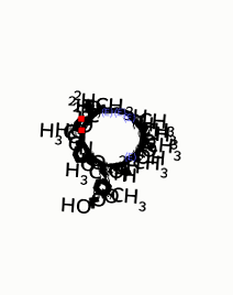 [2H]C([2H])([2H])O[C@H]1C[C@@H]2CC[C@@H](C)[C@@](O)(O2)C(=O)C(=O)N2CCCC[C@H]2C(=O)O[C@H]([C@H](C)C[C@@H]2CC[C@@H](OCCO)[C@H](OC)C2)CC(=O)[C@H](C([2H])([2H])[2H])/C=C(\C)[C@@H](O)[C@@H](OC)C(=O)[C@H](C)C([2H])(C)[C@]([2H])(C)/C=C/C=C/C=C/1C